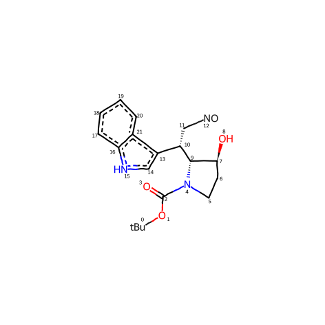 CC(C)(C)OC(=O)N1CC[C@H](O)[C@H]1[C@@H](CN=O)c1c[nH]c2ccccc12